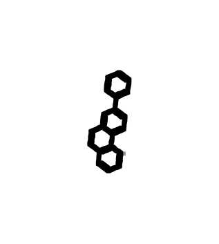 [c]1cccc2ccc3cc(-c4ccccc4)ccc3c12